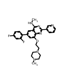 CNc1nc(-c2cccnc2)nc2c(OCCN3CCN(C)CC3)cc(-c3ccc(F)cc3F)cc12